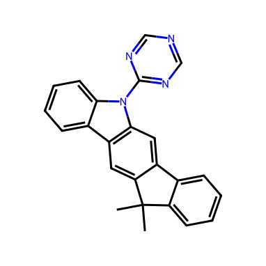 CC1(C)c2ccccc2-c2cc3c(cc21)c1ccccc1n3-c1ncncn1